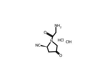 Cl.Cl.N#C[C@@H]1CC(=O)CN1C(=O)CN